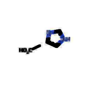 CC(=O)O.c1c[nH]cn1